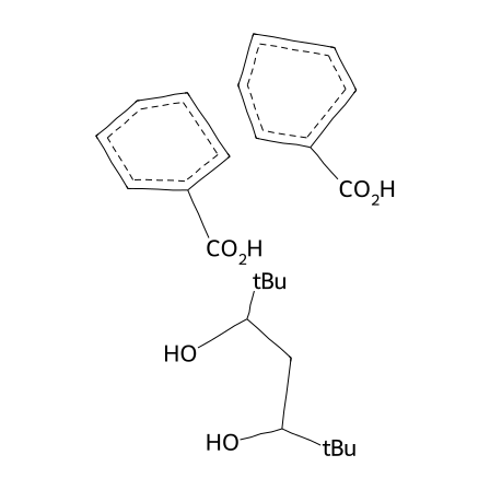 CC(C)(C)C(O)CC(O)C(C)(C)C.O=C(O)c1ccccc1.O=C(O)c1ccccc1